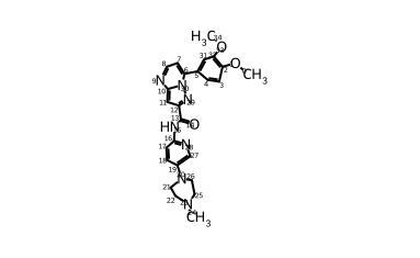 COc1ccc(-c2ccnc3cc(C(=O)Nc4ccc(N5CCN(C)CC5)cn4)nn23)cc1OC